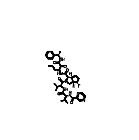 CCCC(NC(=O)C1[C@H]2CC[C@H](F)[C@H]2CN1C(=O)C(NC(=O)[C@H](NC(=O)c1cnccn1)C(C)C)C(C)C)C(=O)C(=O)N[C@H](C)c1ccccc1